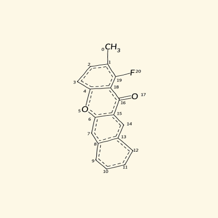 Cc1ccc2oc3cc4ccccc4cc3c(=O)c2c1F